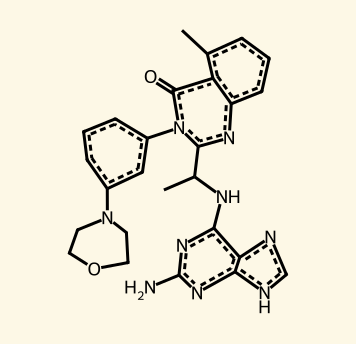 Cc1cccc2nc(C(C)Nc3nc(N)nc4[nH]cnc34)n(-c3cccc(N4CCOCC4)c3)c(=O)c12